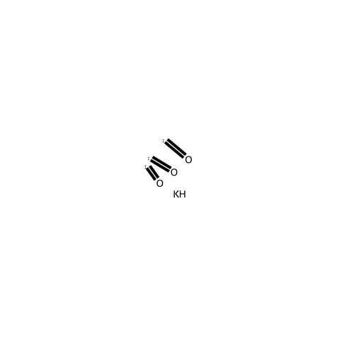 [C]=O.[C]=O.[C]=O.[KH]